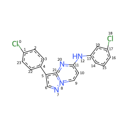 Clc1ccc(-c2cnn3ccc(Nc4cccc(Cl)c4)nc23)cc1